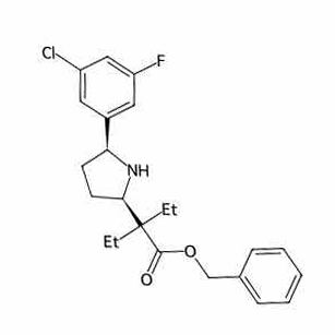 CCC(CC)(C(=O)OCc1ccccc1)[C@H]1CC[C@@H](c2cc(F)cc(Cl)c2)N1